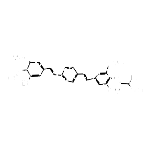 CCCCC(CC)COc1c(OC)cc(/C=C/c2ccc(/C=C/C3=CC(OC)C(OCCC)C(CC)=C3)cc2)cc1OC